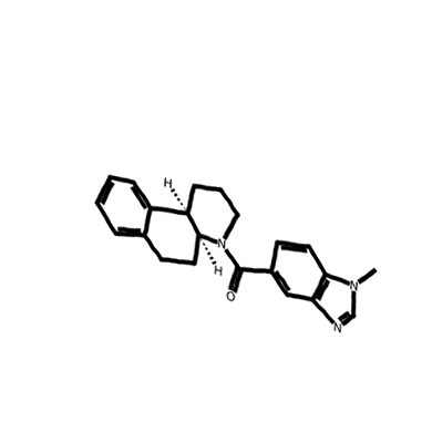 Cn1cnc2cc(C(=O)N3CCC[C@@H]4c5ccccc5CC[C@@H]43)ccc21